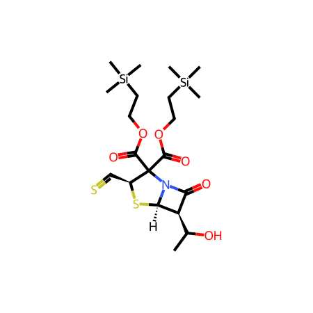 CC(O)[C@@H]1C(=O)N2[C@@H]1S[C@@H](C=S)C2(C(=O)OCC[Si](C)(C)C)C(=O)OCC[Si](C)(C)C